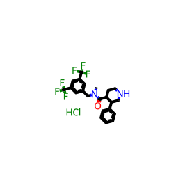 CN(Cc1cc(C(F)(F)F)cc(C(F)(F)F)c1)C(=O)C1CCNCC1c1ccccc1.Cl